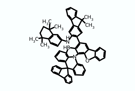 CC1(C)CCC(C)(C)c2cc(Nc3cc4c(cc3-c3cc5c(oc6ccccc65)c5c3Bc3cccc6c3N5c3ccccc3C63c5ccccc5-c5ccccc53)C(C)(C)c3ccccc3-4)ccc21